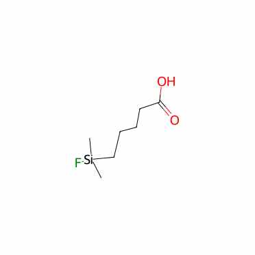 C[Si](C)(F)CCCCC(=O)O